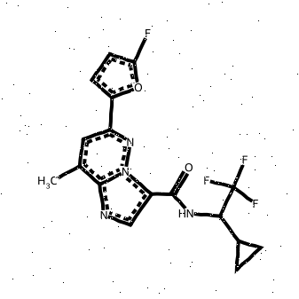 Cc1cc(-c2ccc(F)o2)nn2c(C(=O)NC(C3CC3)C(F)(F)F)cnc12